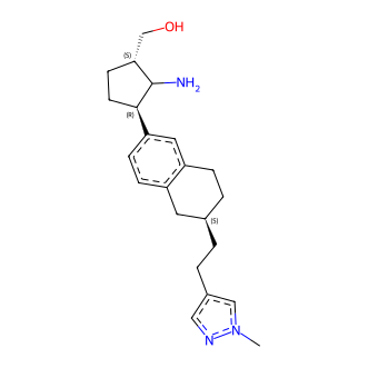 Cn1cc(CC[C@@H]2CCc3cc([C@H]4CC[C@H](CO)C4N)ccc3C2)cn1